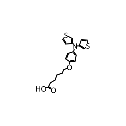 O=C(O)CCCCCOc1ccc(N(c2ccsc2)c2ccsc2)cc1